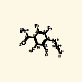 CC(C)C(=O)c1c(F)c(F)c(N=[N+]=[N-])c(F)c1F